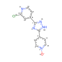 [O-][n+]1ccc(-c2nc(-c3ccnc(Cl)c3)n[nH]2)cc1